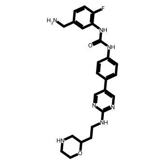 NCc1ccc(F)c(NC(=O)Nc2ccc(-c3cnc(NCCC4CNCCO4)nc3)cc2)c1